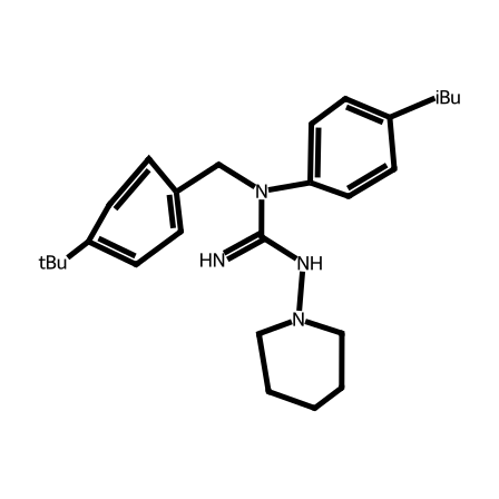 CCC(C)c1ccc(N(Cc2ccc(C(C)(C)C)cc2)C(=N)NN2CCCCC2)cc1